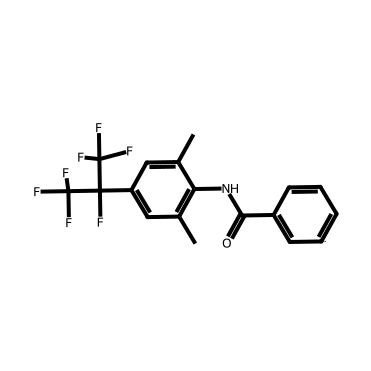 Cc1cc(C(F)(C(F)(F)F)C(F)(F)F)cc(C)c1NC(=O)c1c[c]ccc1